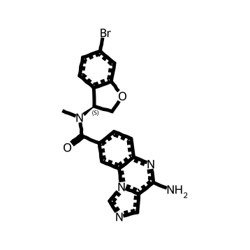 CN(C(=O)c1ccc2nc(N)c3cncn3c2c1)[C@@H]1COc2cc(Br)ccc21